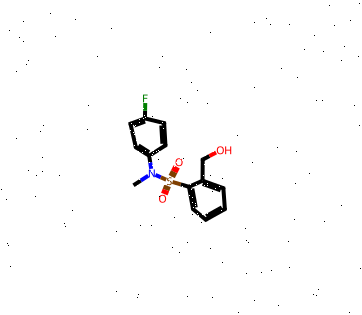 CN(c1ccc(F)cc1)S(=O)(=O)c1ccccc1CO